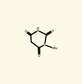 CCCCN1C(=O)CC(=O)NC1=O